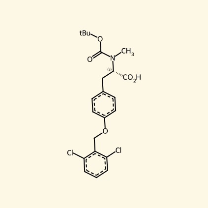 CN(C(=O)OC(C)(C)C)[C@@H](Cc1ccc(OCc2c(Cl)cccc2Cl)cc1)C(=O)O